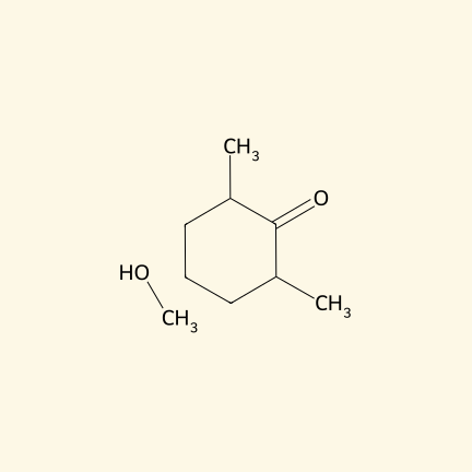 CC1CCCC(C)C1=O.CO